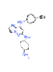 CC(C)(C)c1ccc(Nc2cc(N[C@H]3CC[C@H](N)CC3)nn3ccnc23)cc1